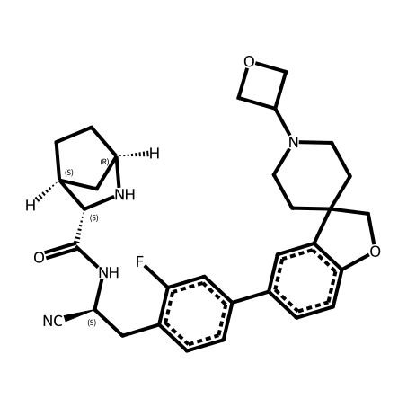 N#C[C@H](Cc1ccc(-c2ccc3c(c2)C2(CCN(C4COC4)CC2)CO3)cc1F)NC(=O)[C@H]1N[C@@H]2CC[C@H]1C2